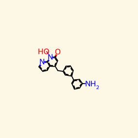 Nc1cccc(-c2cccc(Cc3cc(=O)n(O)c4ncccc34)c2)c1